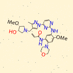 C=CC(=O)Nc1cc(Nc2nccc(-n3cc(CN4C[C@H](O)[C@H](OC)C4)c(C)n3)n2)c(OC)cc1N1CCOCC1